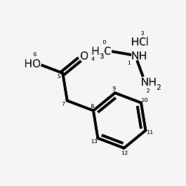 CNN.Cl.O=C(O)Cc1ccccc1